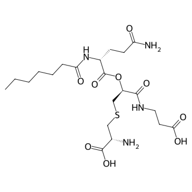 CCCCCCC(=O)N[C@H](CCC(N)=O)C(=O)O[C@H](CSC[C@H](N)C(=O)O)C(=O)NCCC(=O)O